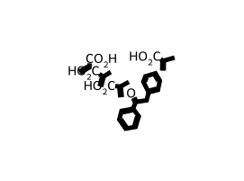 C=C(C)C(=O)O.C=C(C)C(=O)O.C=C(C)C(=O)O.C=CC(=O)O.O=C(Cc1ccccc1)c1ccccc1